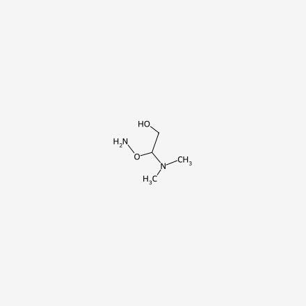 CN(C)C(CO)ON